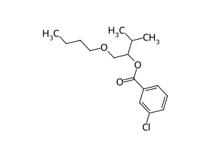 CCCCOCC(OC(=O)c1cccc(Cl)c1)C(C)C